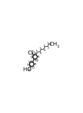 CCCCCCCCc1ccc(-c2ccc(O)cc2)cc1Cl